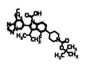 CCc1cc(-c2c(C(C)C)c3c(F)c(C4CCN(C(=O)OC(C)(C)C)CC4)ccc3n2C(=O)O)cn2ncnc12